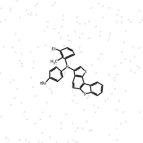 CCc1cccc(N(c2ccc(C(C)(C)C)cc2)c2csc3c2ccc2sc4ccccc4c23)c1C